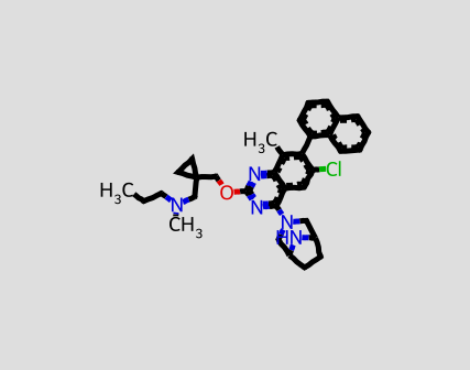 CCCN(C)CC1(COc2nc(N3CC4CCC(C3)N4)c3cc(Cl)c(-c4cccc5ccccc45)c(C)c3n2)CC1